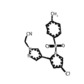 Cc1ccc(S(=O)(=O)n2cc(Cl)cc2-c2cnn(CC#N)c2)cc1